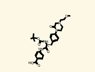 COCCN1CCN(c2ccc(C[C@H](NC(=O)OC(C)(C)C)C(=O)Nc3ccc(C(=O)O)cc3)cc2)C(=O)C1